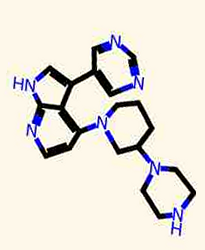 c1ncc(-c2c[nH]c3nccc(N4CCCC(N5CCNCC5)C4)c23)cn1